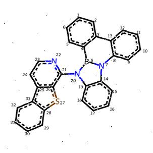 c1ccc2c(c1)B1N(c3ccccc3-2)c2ccccc2N1c1nccc2c1sc1ccccc12